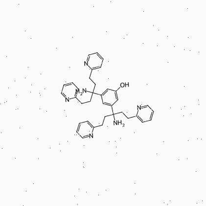 NC(CCc1ccccn1)(CCc1ccccn1)c1cc(O)cc(C(N)(CCc2ccccn2)CCc2ccccn2)c1